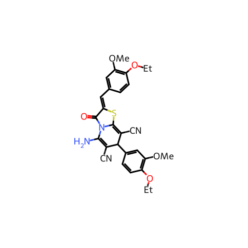 CCOc1ccc(/C=c2\sc3n(c2=O)C(N)=C(C#N)C(c2ccc(OCC)c(OC)c2)C=3C#N)cc1OC